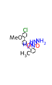 COc1cc(Cl)ccc1-c1cccc(OCc2c(C)cccc2N(N)C(=O)NN)c1